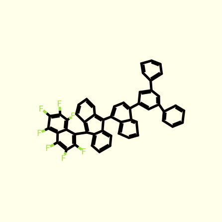 Fc1c(F)c(F)c2c(-c3c4ccccc4c(-c4ccc(-c5cc(-c6ccccc6)cc(-c6ccccc6)c5)c5ccccc45)c4ccccc34)c(F)c(F)c(F)c2c1F